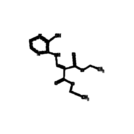 CCOC(=O)C(=CNc1nccnc1O)C(=O)OCC